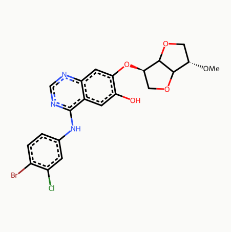 CO[C@H]1COC2C1OC[C@H]2Oc1cc2ncnc(Nc3ccc(Br)c(Cl)c3)c2cc1O